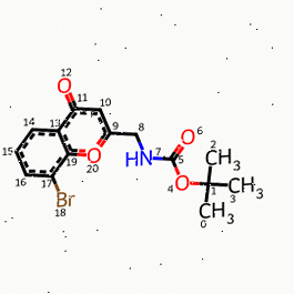 CC(C)(C)OC(=O)NCc1cc(=O)c2cccc(Br)c2o1